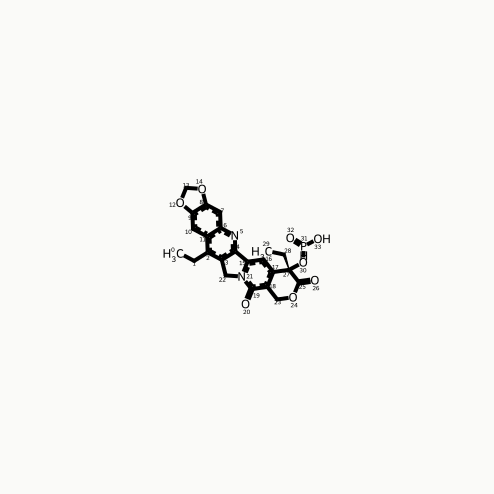 CCc1c2c(nc3cc4c(cc13)OCO4)-c1cc3c(c(=O)n1C2)COC(=O)[C@@]3(CC)O[PH](=O)O